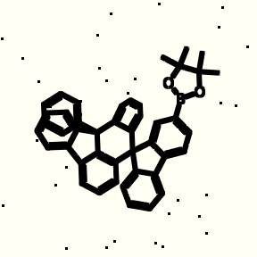 CC1(C)OB(c2ccc3c(c2)C2(c4ccccc4-3)c3ccccc3C3(c4ccccc4)c4ccccc4-c4cccc2c43)OC1(C)C